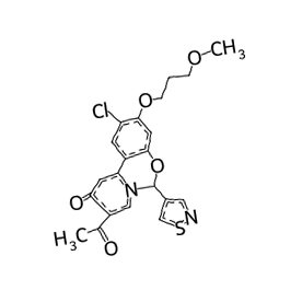 COCCCOc1cc2c(cc1Cl)-c1cc(=O)c(C(C)=O)cn1C(c1cnsc1)O2